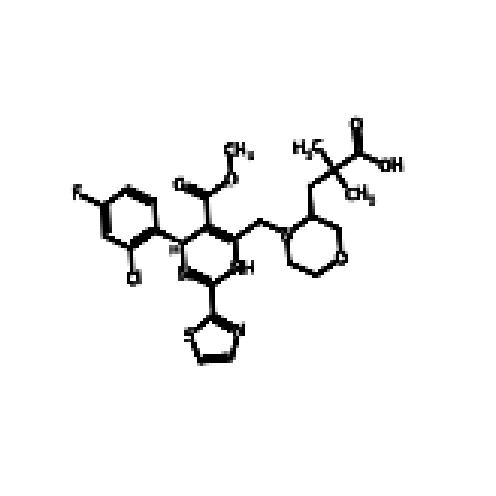 COC(=O)C1=C(CN2CCOCC2CC(C)(C)C(=O)O)NC(c2nccs2)=N[C@H]1c1ccc(F)cc1Cl